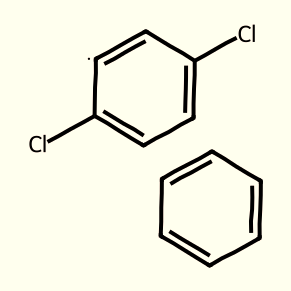 Clc1[c]cc(Cl)cc1.c1ccccc1